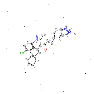 [2H]C1Nc2ccc(Cl)cc2C(Cc2ccccc2)=C1C(=O)/C=C/c1ccc2nn(C)cc2c1